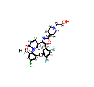 Cc1cc(Cl)cc(C)c1-n1cc(-c2nc(C3CCN(CCO)CC3)oc2-c2ccc(F)cc2F)ccc1=O